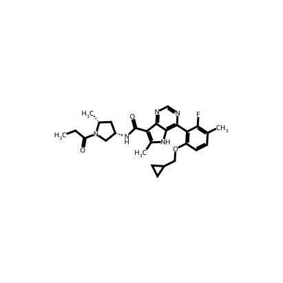 CCC(=O)N1C[C@@H](NC(=O)c2c(C)[nH]c3c(-c4c(OCC5CC5)ccc(C)c4F)ncnc23)C[C@H]1C